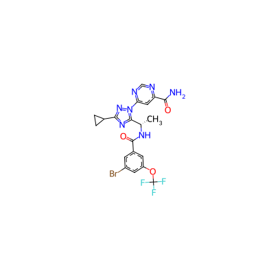 C[C@H](NC(=O)c1cc(Br)cc(OC(F)(F)F)c1)c1nc(C2CC2)nn1-c1cc(C(N)=O)ncn1